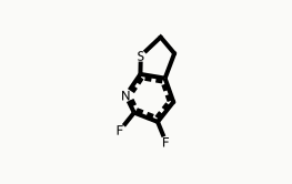 Fc1cc2c(nc1F)SCC2